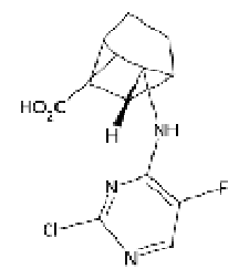 O=C(O)C1C2CCC(CC2)[C@@H]1Nc1nc(Cl)ncc1F